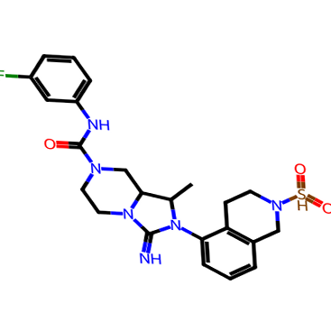 CC1C2CN(C(=O)Nc3cccc(F)c3)CCN2C(=N)N1c1cccc2c1CCN([SH](=O)=O)C2